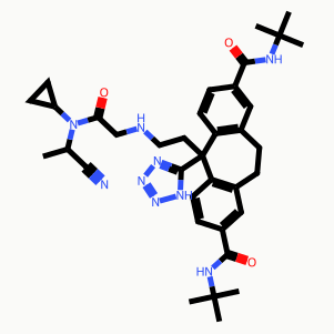 CC(C#N)N(C(=O)CNCCC1(c2nnn[nH]2)c2ccc(C(=O)NC(C)(C)C)cc2CCc2cc(C(=O)NC(C)(C)C)ccc21)C1CC1